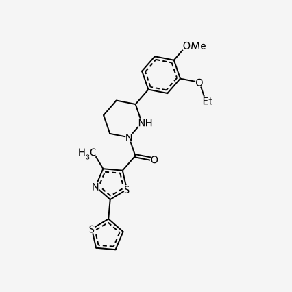 CCOc1cc(C2CCCN(C(=O)c3sc(-c4cccs4)nc3C)N2)ccc1OC